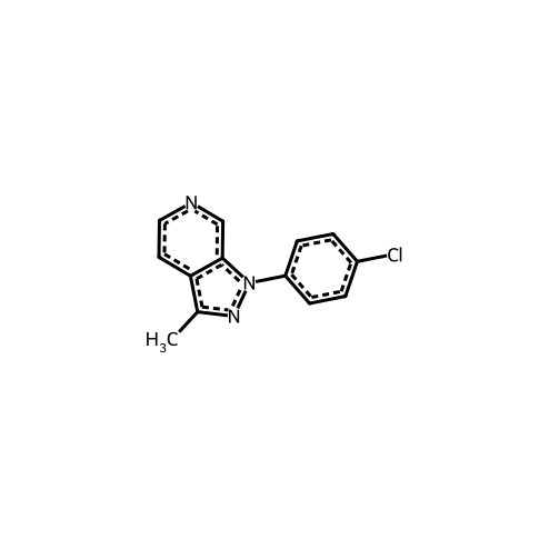 Cc1nn(-c2ccc(Cl)cc2)c2cnccc12